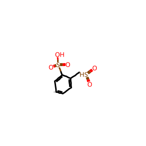 O=[SH](=O)Cc1cc[c]cc1S(=O)(=O)O